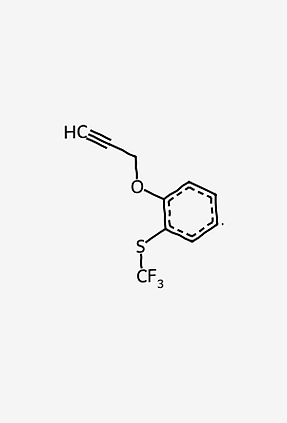 C#CCOc1cc[c]cc1SC(F)(F)F